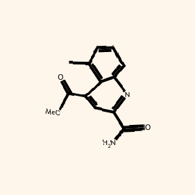 COC(=O)c1cc(C(N)=O)nc2cccc(C)c12